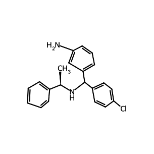 C[C@@H](NC(c1ccc(Cl)cc1)c1cccc(N)c1)c1ccccc1